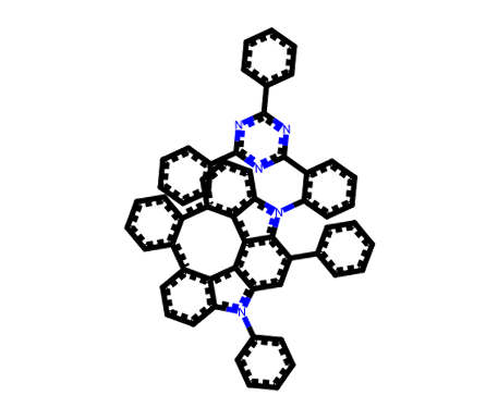 c1ccc(-c2nc(-c3ccccc3)nc(-c3ccccc3-n3c4cccc5c6ccccc6c6cccc7c6c6c(c54)c3c(-c3ccccc3)cc6n7-c3ccccc3)n2)cc1